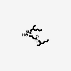 CCCCC(CC)COC(=O)CCCP(=O)(O)OCC(CC)CCCC